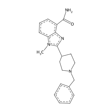 Cn1c(C2CCN(Cc3ccccc3)CC2)nc2c(C(N)=O)cccc21